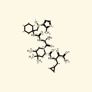 Cc1occc1[S+]([O-])CC1(NC(=O)N[C@H](C(=O)N2CC(C)C(C)(C)C[C@H]2C(=O)NC(CC2CC2)C(=O)C(N)=O)C(C)(C)C)CCCCC1